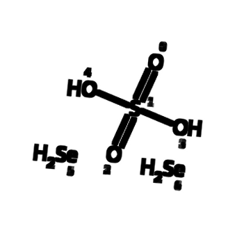 O=S(=O)(O)O.[SeH2].[SeH2]